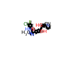 Cn1cnc(C2CC3CC(O)(C#CC4(O)CC(C#N)(c5ccccn5)C4)CC3C2)c1C(=O)Nc1ccc(F)c(Cl)c1